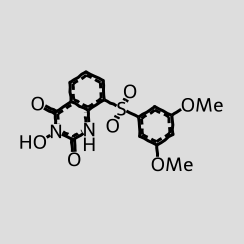 COc1cc(OC)cc(S(=O)(=O)c2cccc3c(=O)n(O)c(=O)[nH]c23)c1